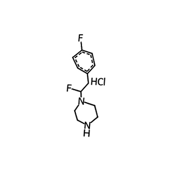 Cl.Fc1ccc(CC(F)N2CCNCC2)cc1